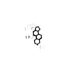 CC12CC[C@H](O)CC1=CCC1C2[C@@H](O)CC2(C)C(O)CCC12